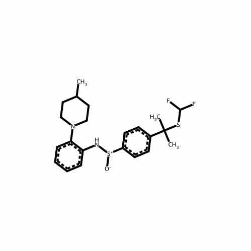 CC1CCN(c2ccccc2N[S+]([O-])c2ccc(C(C)(C)SC(F)F)cc2)CC1